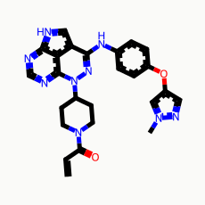 C=CC(=O)N1CCC(N2N=C(Nc3ccc(Oc4cnn(C)c4)cc3)c3c[nH]c4ncnc2c34)CC1